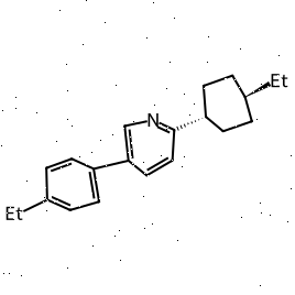 CCc1ccc(-c2ccc([C@H]3CC[C@H](CC)CC3)nc2)cc1